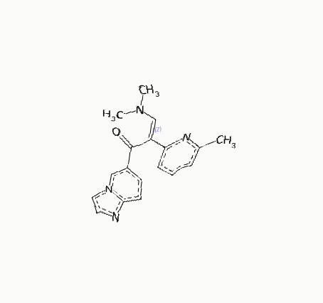 Cc1cccc(/C(=C/N(C)C)C(=O)c2ccc3nccn3c2)n1